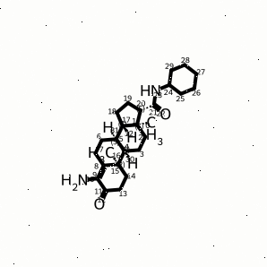 C[C@]12CC[C@H]3[C@@H](CCC4=C(N)C(=O)CC[C@@]43C)[C@@H]1CC[C@@H]2C(=O)NC1CCCCC1